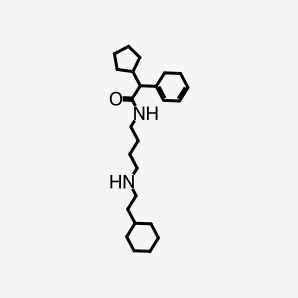 O=C(NCCCCNCCC1CCCCC1)C(C1=CC=CCC1)C1CCCC1